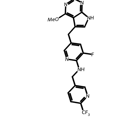 COc1ncnc2[nH]cc(Cc3cnc(NCc4ccc(C(F)(F)F)nc4)c(F)c3)c12